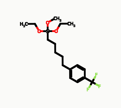 CCO[Si](CCCCCc1ccc(C(F)(F)F)cc1)(OC)OCC